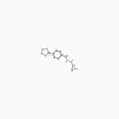 c1cc(N2CCCC2)ccc1OCCC1CC1